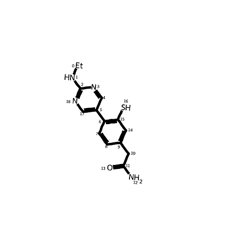 CCNc1ncc(-c2ccc(CC(N)=O)cc2S)cn1